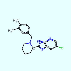 Cc1ccc(CN2CCCC[C@@H]2c2nc3cc(Cl)cnc3[nH]2)cc1C